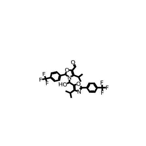 CC(C)C1=C(C=O)OC(c2ccc(C(F)(F)F)cc2)N1C(O)c1oc(-c2ccc(C(F)(F)F)cc2)nc1C(C)C